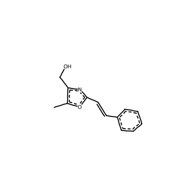 Cc1oc(/C=C/c2ccccc2)nc1CO